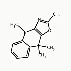 CB1c2ccccc2C(C)(C)c2oc(C)nc21